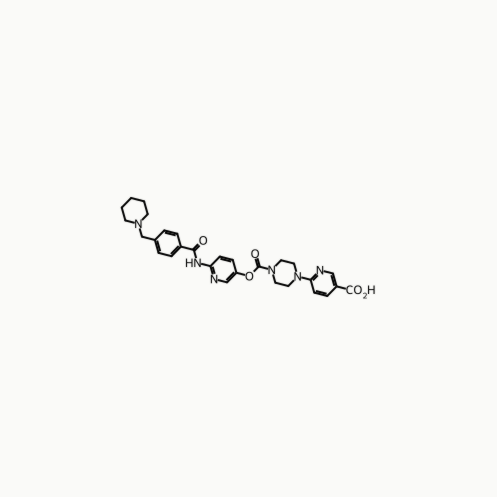 O=C(O)c1ccc(N2CCN(C(=O)Oc3ccc(NC(=O)c4ccc(CN5CCCCC5)cc4)nc3)CC2)nc1